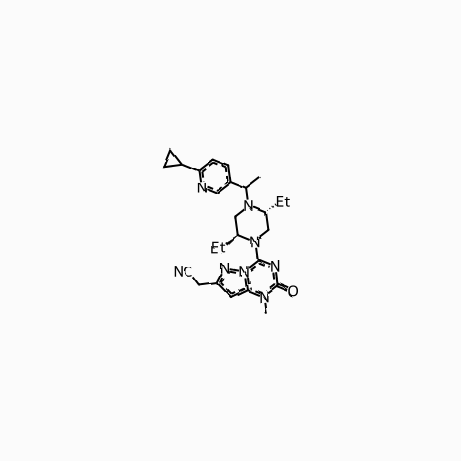 CC[C@H]1CN(C(C)c2ccc(C3CC3)nc2)[C@H](CC)CN1c1nc(=O)n(C)c2cc(CC#N)nn12